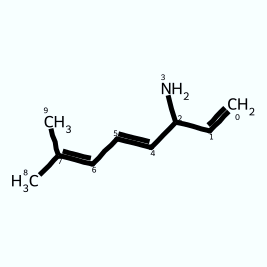 C=CC(N)/C=C/C=C(C)C